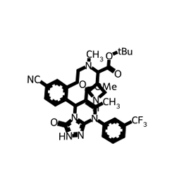 COC(=O)C1=C(C)N(c2cccc(C(F)(F)F)c2)c2n[nH]c(=O)n2C1c1ccc(C#N)cc1CCN(C)C(C(=O)OC(C)(C)C)C1CNC1